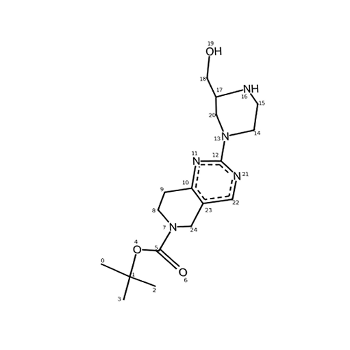 CC(C)(C)OC(=O)N1CCc2nc(N3CCNC(CO)C3)ncc2C1